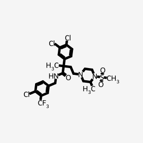 CC1CN(CCC(C)(C(=O)NCc2ccc(Cl)c(C(F)(F)F)c2)c2ccc(Cl)c(Cl)c2)CCN1S(C)(=O)=O